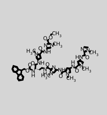 CCOC(=O)c1nc(NC(=O)c2cc(NC(=O)[C@H](CCNC(=O)c3nc(NC(=O)c4cc(NC(=O)c5cc(NC(=O)c6nccn6C)cn5C)cn4C)cn3C)NC(=O)OCC3c4ccccc4-c4ccccc43)cn2C)cn1C